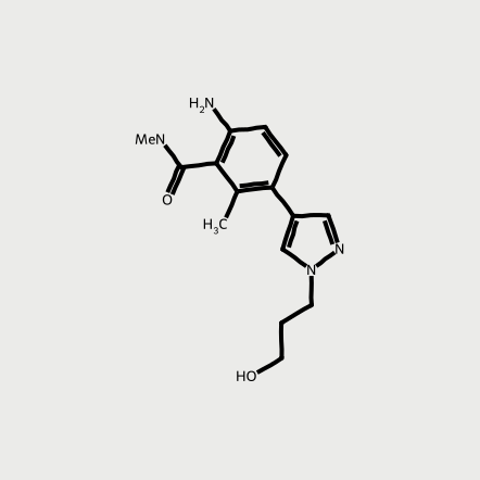 CNC(=O)c1c(N)ccc(-c2cnn(CCCO)c2)c1C